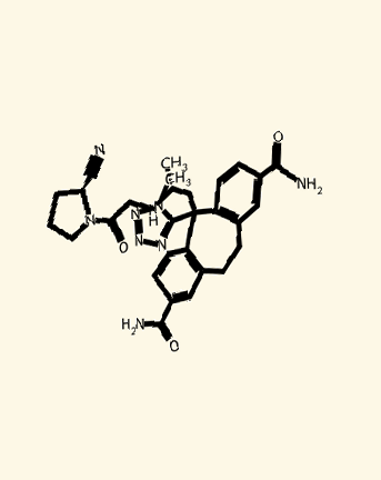 C[C@H](CC1(c2nnnn2C)c2ccc(C(N)=O)cc2CCc2cc(C(N)=O)ccc21)NCC(=O)N1CCC[C@H]1C#N